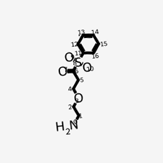 NCCOCCC(=O)S(=O)(=O)c1c[c]ccc1